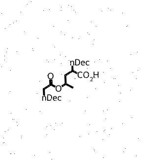 CCCCCCCCCCCC(=O)OC(C)CC(CCCCCCCCCC)C(=O)O